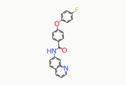 O=C(Nc1ccc2cccnc2c1)c1ccc(Oc2ccc(F)cc2)cc1